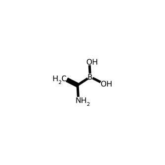 C=C(N)B(O)O